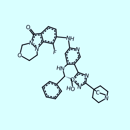 O=c1c2ccc(Nc3cc(N[C@H](CO)c4ccccc4)c(-c4nc(C56CCN(CC5)CC6)no4)cn3)c(F)c2n2n1COCC2